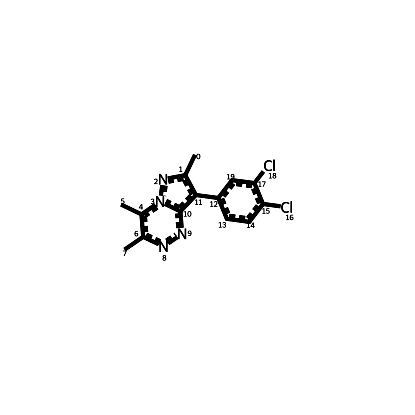 Cc1nn2c(C)c(C)nnc2c1-c1ccc(Cl)c(Cl)c1